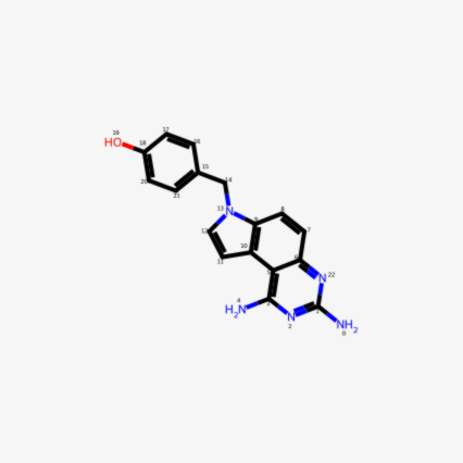 Nc1nc(N)c2c(ccc3c2ccn3Cc2ccc(O)cc2)n1